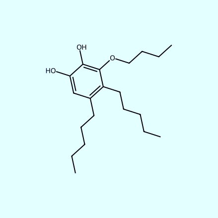 CCCCCc1cc(O)c(O)c(OCCCC)c1CCCCC